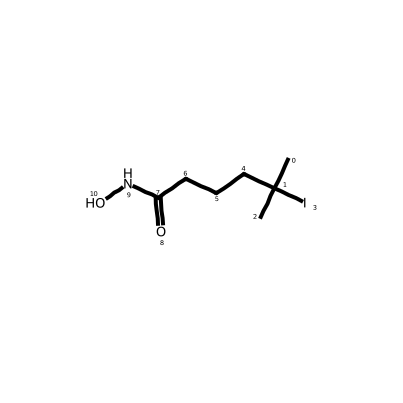 CC(C)(I)CCCC(=O)NO